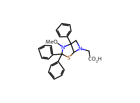 CON1C(c2ccccc2)(c2ccccc2)SC2N(CC(=O)O)CC21c1ccccc1